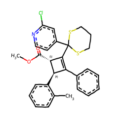 COC(=O)[C@@H]1C(C2(c3ccnc(Cl)c3)SCCCS2)=C(c2ccccc2)[C@H]1c1ccccc1C